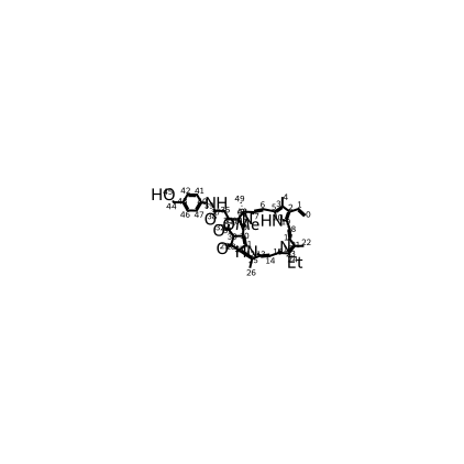 C=Cc1c(C)c2cc3nc(c4c5[nH]c(cc6nc(cc1[nH]2)C(C)=C6CC)c(C)c5C(=O)C4C(=O)OC)[C@@H](CCC(=O)Nc1ccc(CO)cc1)[C@@H]3C